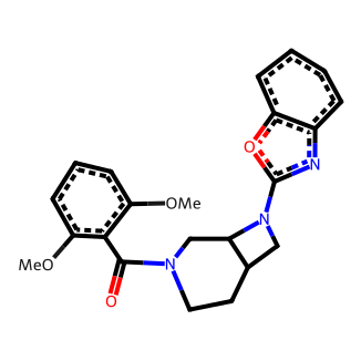 COc1cccc(OC)c1C(=O)N1CCC2CN(c3nc4ccccc4o3)C2C1